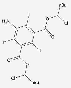 CCCCC(Cl)OC(=O)c1c(I)c(N)c(I)c(C(=O)OC(Cl)CCCC)c1I